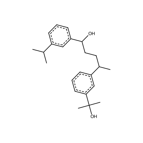 CC(C)c1cccc(C(O)CCC(C)c2cccc(C(C)(C)O)c2)c1